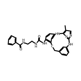 Cc1cnc2nc1Nc1ccc(NC(=O)NCCNC(=O)c3ccccc3)c(c1)CCc1cccc(c1)N2